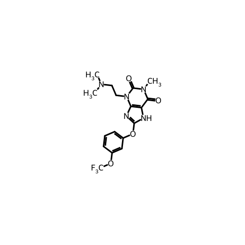 CN(C)CCn1c(=O)n(C)c(=O)c2[nH]c(Oc3cccc(OC(F)(F)F)c3)nc21